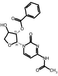 CC(=O)Nc1ccn([C@@H]2OCC(O)[C@@H]2OC(=O)c2ccccc2)c(=O)n1